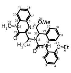 CCOc1ccccc1NC(=O)N(C(C)c1nc2ccccc2n(C)c1=O)C(COC)c1ccccc1